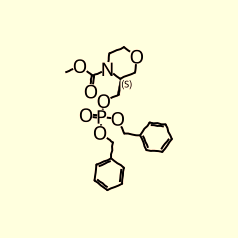 COC(=O)N1CCOC[C@H]1COP(=O)(OCc1ccccc1)OCc1ccccc1